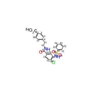 O=C(O)c1ccc(CCNC(=O)c2ccc(Cl)c(NS(=O)(=O)c3ccccc3)c2)cc1